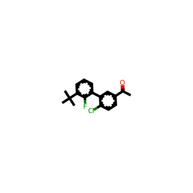 CC(=O)c1ccc(Cl)c(-c2cccc(C(C)(C)C)c2F)c1